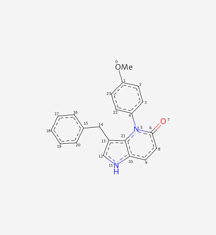 COc1ccc(-n2c(=O)ccc3[nH]cc(Cc4ccccc4)c32)cc1